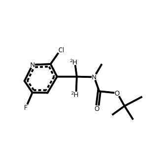 [2H]C([2H])(c1cc(F)cnc1Cl)N(C)C(=O)OC(C)(C)C